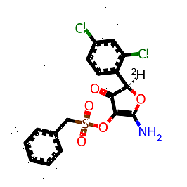 [2H][C@]1(c2ccc(Cl)cc2Cl)OC(N)=C(OS(=O)(=O)Cc2ccccc2)C1=O